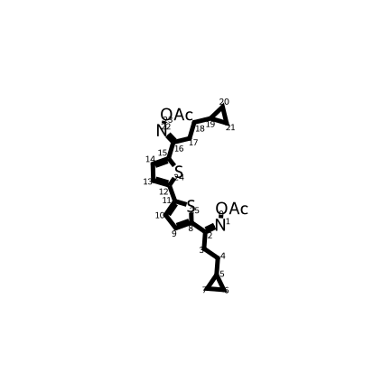 CC(=O)O/N=C(/CCC1CC1)c1ccc(-c2ccc(/C(CCC3CC3)=N/OC(C)=O)s2)s1